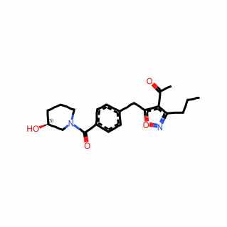 CCCc1noc(Cc2ccc(C(=O)N3CCC[C@H](O)C3)cc2)c1C(C)=O